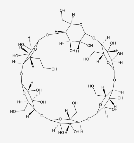 OCC[C@H]1OC2O[C@H]3[C@H](O)[C@@H](O)C(O[C@H]4[C@H](O)[C@@H](O)C(O[C@H]5[C@H](O)[C@@H](O)C(C[C@H]6[C@H](O)[C@@H](O)C(O[C@H]7[C@H](O)[C@@H](O)C(O[C@H]1[C@H](O)[C@H]2O)O[C@@H]7CO)O[C@@H]6CO)O[C@@H]5CO)O[C@@H]4CO)O[C@@H]3CO